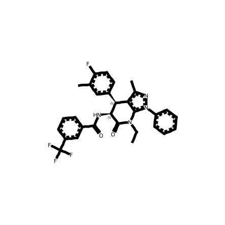 CCN1C(=O)[C@@H](NC(=O)c2cccc(C(F)(F)F)c2)[C@@H](c2ccc(F)c(C)c2)c2c(C)nn(-c3ccccc3)c21